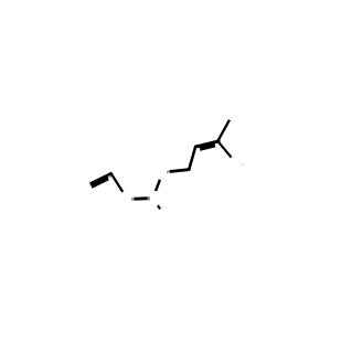 C=COP(O)OCC=C(C)O